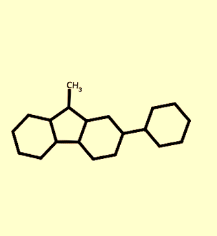 CC1C2CCCCC2C2CCC([C]3CCCCC3)CC12